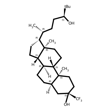 C[C@H](CC[C@H](O)C(C)(C)C)[C@H]1CC[C@H]2[C@@H]3CC[C@@H]4C[C@](O)(C(F)(F)F)CC[C@]4(C)[C@H]3CC[C@]12C